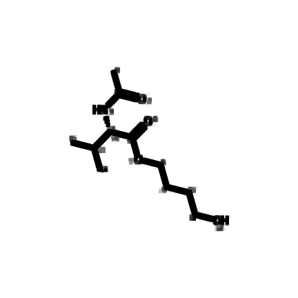 CC(=O)N[C@H](C(=O)OCCCCO)C(C)C